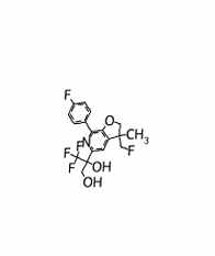 CC1(CF)COc2c1cc(C(O)(CO)C(F)(F)F)nc2-c1ccc(F)cc1